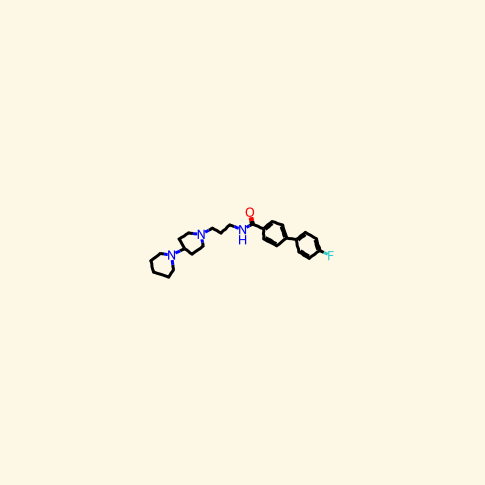 O=C(NCCCN1CCC(N2CCCCC2)CC1)c1ccc(-c2ccc(F)cc2)cc1